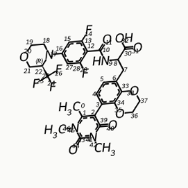 Cc1c(-c2ccc(CC(NC(=O)c3c(F)cc(N4CCOC[C@@H]4C(F)(F)F)cc3F)C(=O)O)c3c2OCCO3)c(=O)n(C)c(=O)n1C